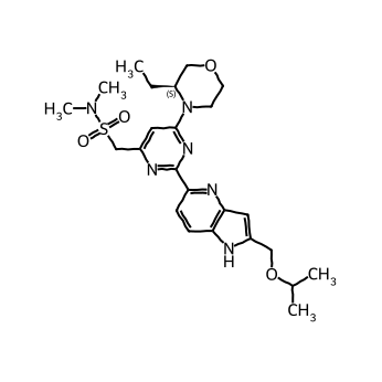 CC[C@H]1COCCN1c1cc(CS(=O)(=O)N(C)C)nc(-c2ccc3[nH]c(COC(C)C)cc3n2)n1